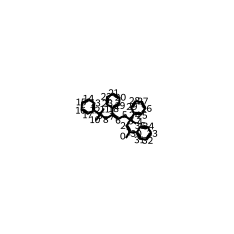 CC(=CC(C)(CC=C(CC(C)(C)c1ccccc1)c1ccccc1)c1ccccc1)c1ccccc1